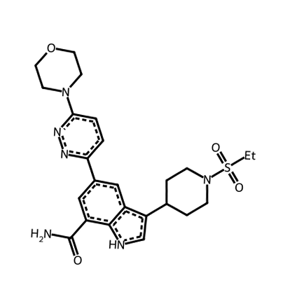 CCS(=O)(=O)N1CCC(c2c[nH]c3c(C(N)=O)cc(-c4ccc(N5CCOCC5)nn4)cc23)CC1